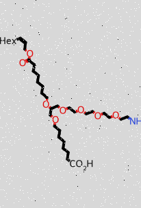 CCCCCC/C=C\COC(=O)CCCCCCCOC(COCCCCCCCC(=O)O)COCCOCCOCCOCCN